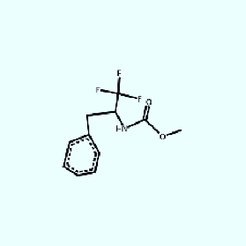 COC(=O)NC(Cc1ccccc1)C(F)(F)F